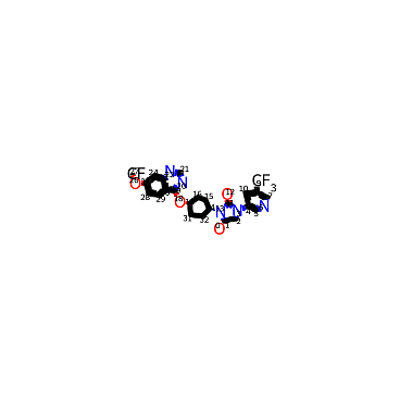 O=C1CN(c2cncc(C(F)(F)F)c2)C(=O)N1[C@H]1CC[C@H](Oc2ncnc3cc(OC(F)(F)F)ccc23)CC1